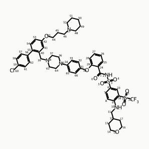 O=C(NS(=O)(=O)c1ccc(NCC2CCOCC2)c(S(=O)(=O)C(F)(F)F)c1)c1ccccc1Oc1ccc(N2CCN(Cc3cc(OCCCN4CCCCC4)ccc3-c3ccc(Cl)cc3)CC2)cc1